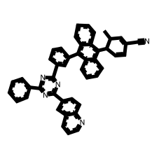 CC1C=C(C#N)C=CC1c1c2ccccc2c(-c2cccc(-c3nc(-c4ccccc4)nc(-c4ccc5ncccc5c4)n3)c2)c2ccccc12